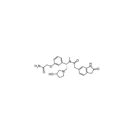 CN(C(=O)Cc1ccc2c(c1)NC(=O)C2)[C@H](CN1CCC(O)C1)c1cccc(OCC(N)=O)c1